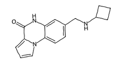 O=c1[nH]c2cc(CNC3CCC3)ccc2n2cccc12